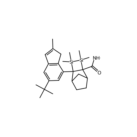 CC1=Cc2cc(C(C)(C)C)cc(C34C5CCC(C5)C3(C([NH])=O)[Si](C)(C)[Si]4(C)C)c2C1